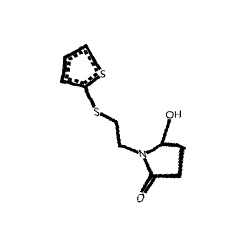 O=C1CCC(O)N1CCSc1cccs1